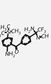 C=NC(N)(c1ccc(C(=O)c2cc([Si](C)(C)C)ccc2N)cc1)C(F)(F)F